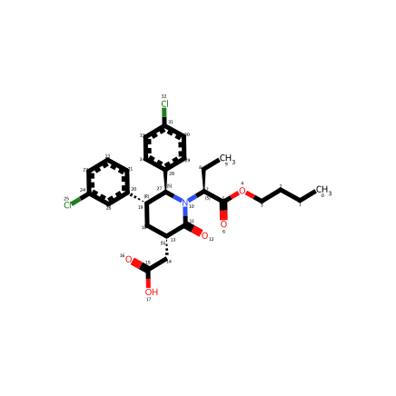 CCCCOC(=O)[C@H](CC)N1C(=O)[C@H](CC(=O)O)C[C@H](c2cccc(Cl)c2)[C@H]1c1ccc(Cl)cc1